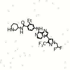 CCc1cc(Nc2nccn3c(-c4cn(CC(F)F)nc4C(F)(F)F)cnc23)ccc1C(=O)NC1CCCNC1